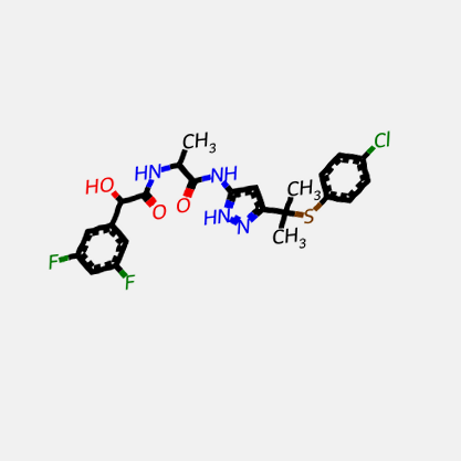 CC(NC(=O)C(O)c1cc(F)cc(F)c1)C(=O)Nc1cc(C(C)(C)Sc2ccc(Cl)cc2)n[nH]1